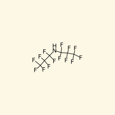 FC(F)(F)C(F)(F)C(F)(F)NC(F)(F)C(F)(F)C(F)(F)F